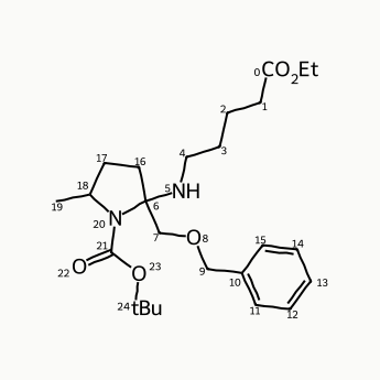 CCOC(=O)CCCCNC1(COCc2ccccc2)CCC(C)N1C(=O)OC(C)(C)C